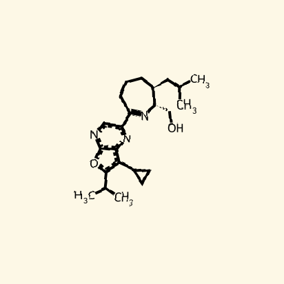 CC(C)C[C@@H]1CCCC(c2cnc3oc(C(C)C)c(C4CC4)c3n2)=N[C@H]1CO